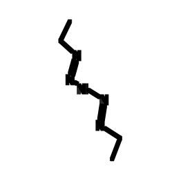 CC/N=[N]/[Ni]/[N]=N/CC